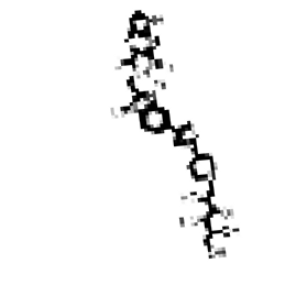 CCn1c(CNC(=O)c2nc3cc[nH]c3nc2N)[n+](CC)c2ccc(-c3cnn(C4CCN(CC(O)C(O)C(O)C(O)CO)CC4)c3)cc21